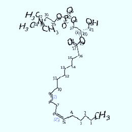 CCCCC/C=C\C/C=C\CCCCCCCC(=O)O[C@@H](CO)COP(=O)([O-])OCC[N+](C)(C)C